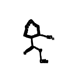 COOC(=O)c1ccccc1[N+](=O)[O-]